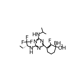 BC1(O)CCCC(c2nc(NC(C)C)nc(N[C@H](CC)C(F)(F)F)n2)=C1F